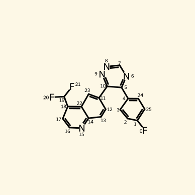 Fc1ccc(-c2ncnnc2-c2ccc3nccc(C(F)F)c3c2)cc1